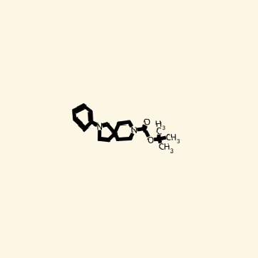 CC(C)(C)OC(=O)N1CCC2(CC1)CCN(c1ccccc1)C2